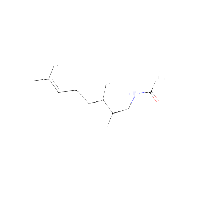 CCC(CNC(=O)C(C)(C)C)C(C)CCC=C(C)C